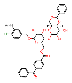 CC(=O)Nc1cc(CO[C@@H]2O[C@H](COC(=O)c3ccc(C(=O)c4ccccc4)cc3)[C@@H](O[C@H]3O[C@@H]4COC(c5ccccc5)O[C@H]4[C@H](O)[C@H]3O)[C@H](O)[C@H]2O)ccc1Cl